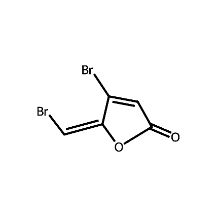 O=C1C=C(Br)/C(=C\Br)O1